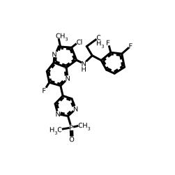 CCC(Nc1c(Cl)c(C)nc2cc(F)c(-c3cnc(P(C)(C)=O)nc3)nc12)c1cccc(F)c1F